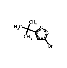 CC(C)(C)c1cc(Br)no1